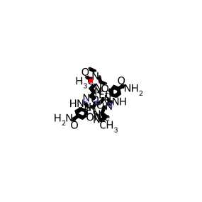 CCn1nc(C)cc1C(=O)/N=C1/NC2=CC(C(N)=O)=CC(OC)C2N1C/C=C/Cn1/c(=N\C(=O)c2cc(C)nn2CC)[nH]c2cc(C(N)=O)cc(OCCCN3CCOCC3)c21